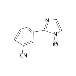 CC(C)n1ccnc1-c1cccc(C#N)c1